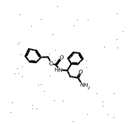 NC(=O)CC(NC(=O)OCc1ccccc1)c1ccccc1